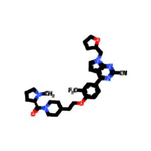 CN1CCC[C@@H]1C(=O)N1CCC(CCOc2ccc(-c3nc(C#N)nc4c3ccn4CC3CCCO3)cc2C(F)(F)F)CC1